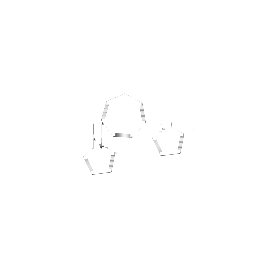 C1=CC=CCC=C1.c1cc[nH]c1.c1ccoc1